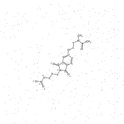 CC(=O)N(C)CCOc1ccc2c(c1)C(=O)N(CCCO[N+](=O)[O-])C2=O